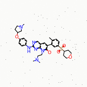 Cc1ccc(S(=O)(=O)C2CCOCC2)cc1-c1cc2cnc(Nc3ccc(OC4CCN(C)C4)cc3)nc2n(CCN(C)C)c1=O